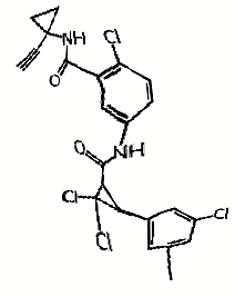 C#CC1(NC(=O)c2cc(NC(=O)C3C(c4cc(C)cc(Cl)c4)C3(Cl)Cl)ccc2Cl)CC1